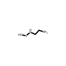 NCCNSO